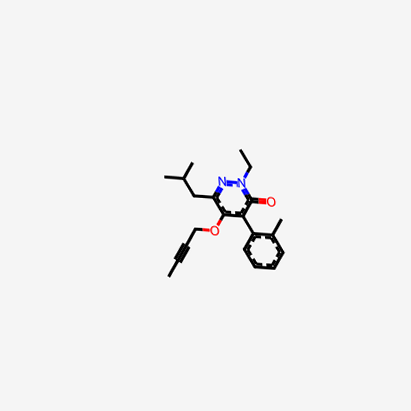 CC#CCOc1c(CC(C)C)nn(CC)c(=O)c1-c1ccccc1C